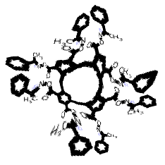 C/C(=N\OC(=O)c1cc(C(=O)O/N=C(\C)c2ccccc2)c2cc1Cc1cc(c(C(=O)O/N=C(\C)c3ccccc3)cc1C(=O)O/N=C(\C)c1ccccc1)Cc1cc(c(C(=O)O/N=C(\C)c3ccccc3)cc1C(=O)O/N=C(\C)c1ccccc1)Cc1cc(c(C(=O)O/N=C(\C)c3ccccc3)cc1C(=O)O/N=C(\C)c1ccccc1)C2)c1ccccc1